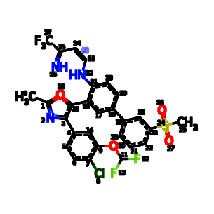 Cc1nc(-c2ccc(Cl)c(OC(F)F)c2)c(-c2cc(-c3cccc(S(C)(=O)=O)c3)ccc2N/C=C\C(=N)C(F)(F)F)o1